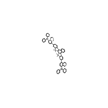 CC1(C)c2cc(-c3ccc(N(c4ccccc4)c4ccccc4)c4c3CCC=C4)ccc2-c2c1c1c(c3ccccc23)-c2ccc(-c3ccc(N(c4ccccc4)c4ccccc4)c4ccccc34)cc2C1(C)C